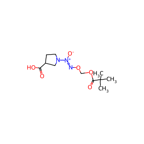 CC(C)(C)C(=O)OCON=[N+]([O-])N1CCC(C(=O)O)C1